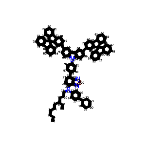 C=C\C=C/C=C/C(C=C)=C/C=C/N(c1ccc(C2C=CC=CC2)cc1)c1ccc(-c2ccc(-n3c4ccc(-c5ccc6c(c5)C5(c7ccccc7-c7ccccc75)c5ccccc5-6)cc4c4cc(-c5ccc6c(c5)C5(c7ccccc7-c7ccccc75)c5ccccc5-6)ccc43)cc2)c2nsnc12